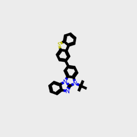 CC(C)(C)n1c2ccc(-c3ccc4sc5ccccc5c4c3)cc2n2c3ccccc3nc12